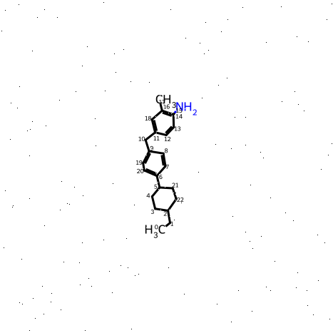 CCC1CCC(c2ccc(Cc3ccc(N)c(C)c3)cc2)CC1